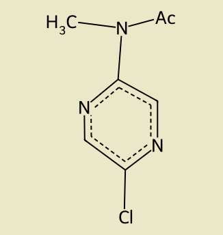 CC(=O)N(C)c1cnc(Cl)cn1